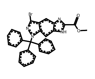 COC(=O)c1nc2cc3c(Br)nn(C(c4ccccc4)(c4ccccc4)c4ccccc4)c3cc2[nH]1